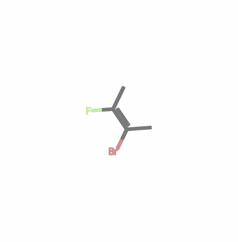 C/C(F)=C(\C)Br